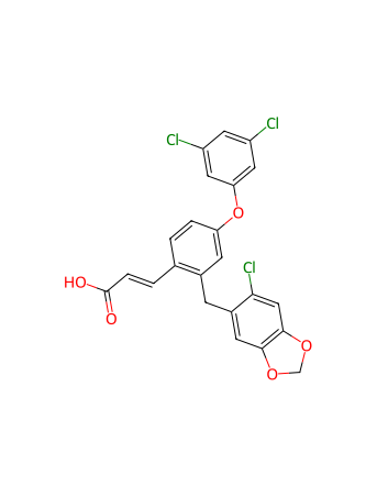 O=C(O)/C=C/c1ccc(Oc2cc(Cl)cc(Cl)c2)cc1Cc1cc2c(cc1Cl)OCO2